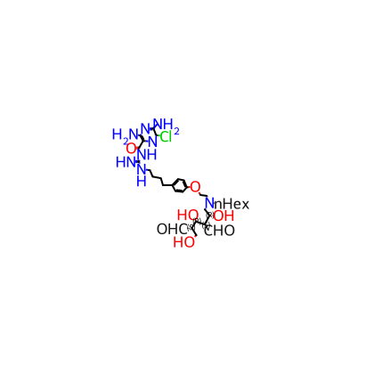 CCCCCCN(CCOc1ccc(CCCCNC(=N)NC(=O)c2nc(Cl)c(N)nc2N)cc1)C[C@H](O)[C@@H](C=O)[C@H](O)[C@@H](C=O)CO